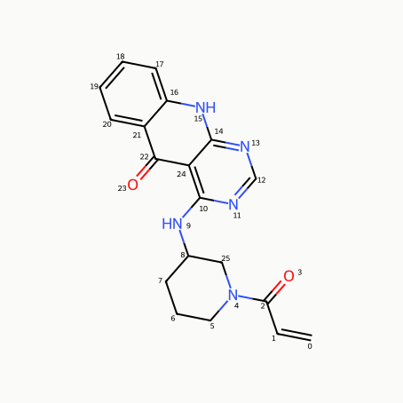 C=CC(=O)N1CCCC(Nc2ncnc3[nH]c4ccccc4c(=O)c23)C1